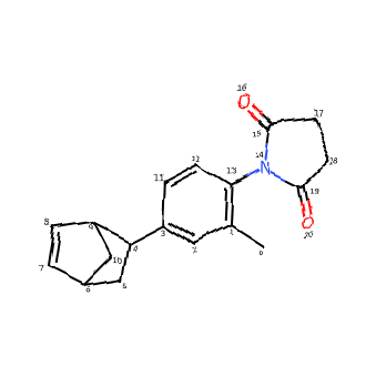 Cc1cc(C2CC3C=CC2C3)ccc1N1C(=O)CCC1=O